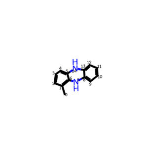 Cc1cccc2c1Nc1ccccc1N2